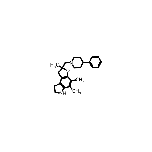 Cc1c(C)c2c(c3c1NCC3)CC(C)(CN1CCC(c3ccccc3)CC1)O2